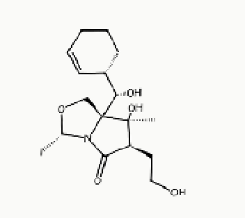 C[C@]1(O)[C@@H](CCO)C(=O)N2[C@H](I)OC[C@]21[C@@H](O)[C@@H]1C=CCCC1